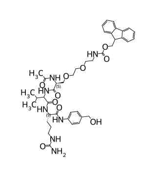 CC(=O)N[C@@H](COCCOCCNC(=O)OCC1c2ccccc2-c2ccccc21)C(=O)NC(C(=O)N[C@@H](CCCNC(N)=O)C(=O)Nc1ccc(CO)cc1)C(C)C